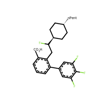 CCCCC[C@H]1CC[C@H](C(F)Cc2c(C(=O)O)cccc2-c2cc(F)c(F)c(F)c2)CC1